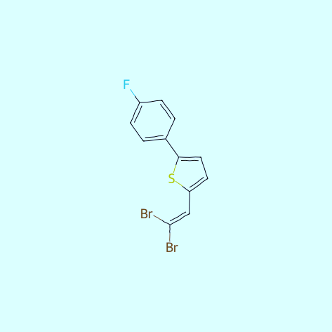 Fc1ccc(-c2ccc(C=C(Br)Br)s2)cc1